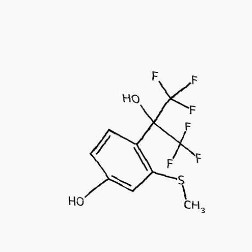 CSc1cc(O)ccc1C(O)(C(F)(F)F)C(F)(F)F